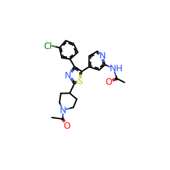 CC(=O)Nc1cc(-c2sc(C3CCN(C(C)=O)CC3)nc2-c2cccc(Cl)c2)ccn1